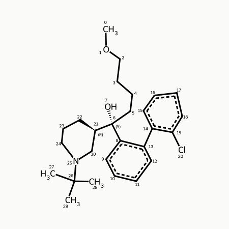 COCCCC[C@@](O)(c1ccccc1-c1ccccc1Cl)[C@@H]1CCCN(C(C)(C)C)C1